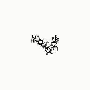 C=CC(=O)Nc1ccc2c(c1)nc(N1CC[C@@H](F)[C@@H](Nc3ncc(C(F)(F)F)cn3)C1)n2C